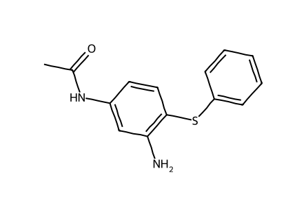 CC(=O)Nc1ccc(Sc2ccccc2)c(N)c1